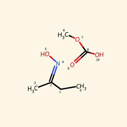 CCC(C)=NO.COC(=O)O